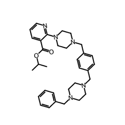 CC(C)OC(=O)c1cccnc1N1CCN(Cc2ccc(CN3CCN(Cc4ccccc4)CC3)cc2)CC1